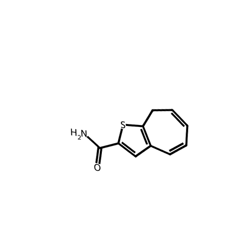 NC(=O)c1cc2c(s1)CC=CC=C2